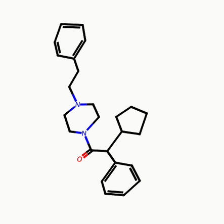 O=C(C(c1ccccc1)C1CCCC1)N1CCN(CCc2ccccc2)CC1